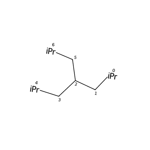 CC(C)CC(CC(C)C)CC(C)C